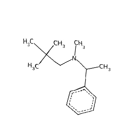 CC(c1ccccc1)N(C)CC(C)(C)C